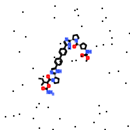 CCC(C)[C@H](OC(N)=O)C(=O)N1CCC[C@H]1c1ncc(-c2ccc(-c3ccc(-c4cnc([C@@H]5CCCN5C(=O)[C@@H]5CC[C@H](NC(=O)OC)C5)[nH]4)cc3)cc2)[nH]1